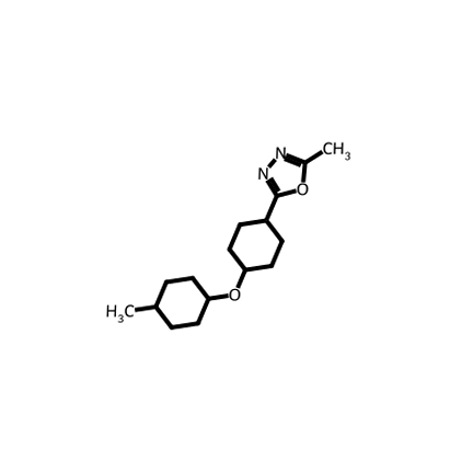 Cc1nnc(C2CCC(OC3CCC(C)CC3)CC2)o1